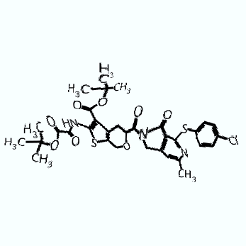 Cc1cc2c(c(Sc3ccc(Cl)cc3)n1)C(=O)N(C(=O)C1Cc3c(sc(NC(=O)C(=O)OC(C)(C)C)c3C(=O)OC(C)(C)C)CO1)C2